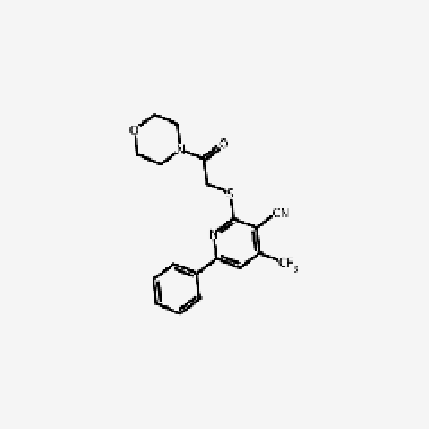 N#Cc1c(C(F)(F)F)cc(-c2ccccc2)nc1SCC(=O)N1CCOCC1